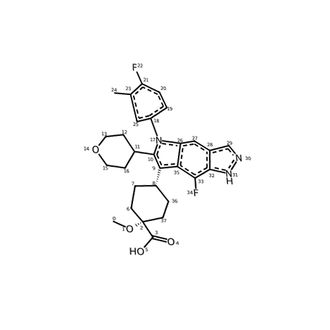 CO[C@]1(C(=O)O)CC[C@H](c2c(C3CCOCC3)n(-c3ccc(F)c(C)c3)c3cc4cn[nH]c4c(F)c32)CC1